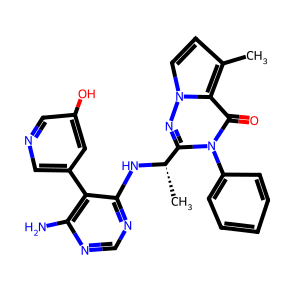 Cc1ccn2nc([C@H](C)Nc3ncnc(N)c3-c3cncc(O)c3)n(-c3ccccc3)c(=O)c12